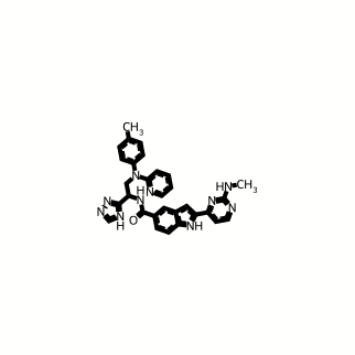 CNc1nccc(-c2cc3cc(C(=O)NC(CN(c4ccc(C)cc4)c4ccccn4)c4nnc[nH]4)ccc3[nH]2)n1